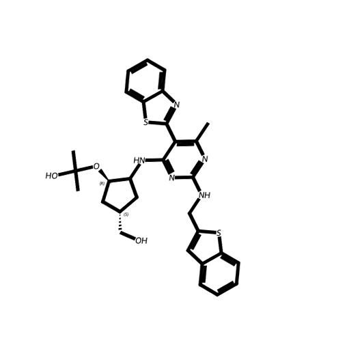 Cc1nc(NCc2cc3ccccc3s2)nc(NC2C[C@H](CO)C[C@H]2OC(C)(C)O)c1-c1nc2ccccc2s1